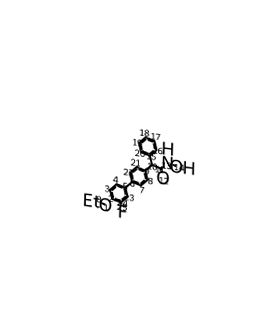 CCOc1ccc(-c2ccc(C(C(=O)NO)c3ccccc3)cc2)cc1F